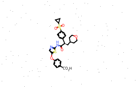 O=C(O)c1ccc(Oc2cnc(NC(=O)[C@H](CC3CCOCC3)c3ccc(S(=O)(=O)C4CC4)cc3)s2)cc1